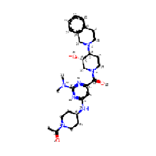 CC(=O)N1CCC(Nc2cc(C(=O)N3CC[C@H](N4CCc5ccccc5C4)[C@@H](O)C3)nc(N(C)C)n2)CC1